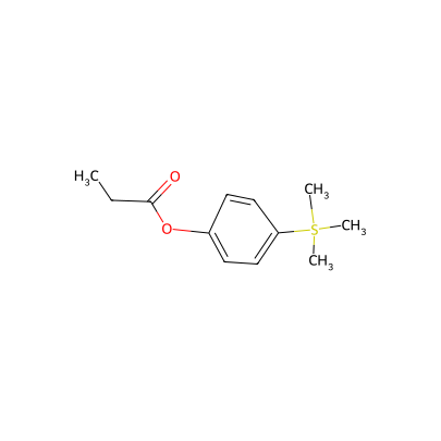 CCC(=O)Oc1ccc(S(C)(C)C)cc1